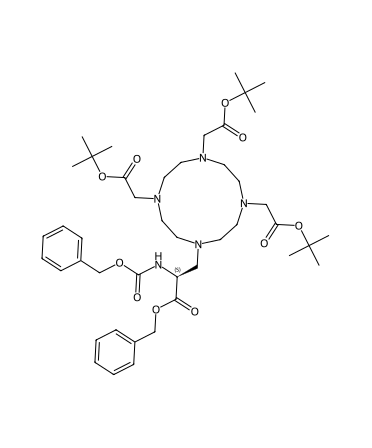 CC(C)(C)OC(=O)CN1CCN(CC(=O)OC(C)(C)C)CCN(C[C@H](NC(=O)OCc2ccccc2)C(=O)OCc2ccccc2)CCN(CC(=O)OC(C)(C)C)CC1